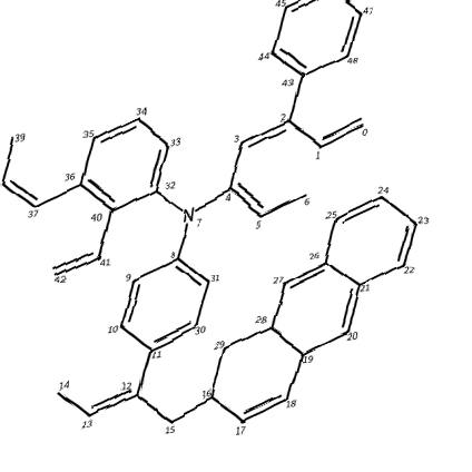 C=C/C(=C\C(=C/C)N(c1ccc(/C(=C\C)CC2C=CC3C=c4ccccc4=CC3C2)cc1)c1cccc(/C=C\C)c1C=C)c1ccccc1